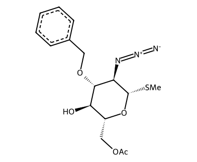 CS[C@@H]1O[C@H](COC(C)=O)[C@@H](O)[C@H](OCc2ccccc2)[C@H]1N=[N+]=[N-]